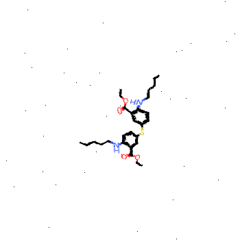 CCCCCNc1ccc(Sc2ccc(NCCCCC)c(C(=O)OCC)c2)cc1C(=O)OCC